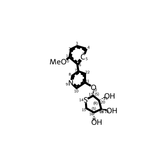 COc1ccccc1-c1cncc(O[C@H]2SC[C@@H](O)[C@H](O)[C@H]2O)c1